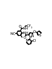 Cc1cc(C#N)cc(C(=O)NCC(F)(F)F)c1NC(=O)c1cc(Oc2ccsc2)nn1-c1ncccc1Cl